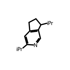 CC(C)c1cc2c(cn1)C(C(C)C)CC2